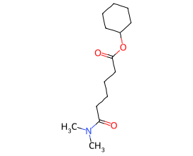 CN(C)C(=O)CCCCC(=O)OC1CCCCC1